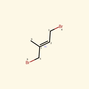 C/C(=C\CBr)CBr